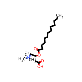 CCCCCCCCCCCCC(=O)O[C@H](CC(=O)O)C[N+](C)(C)C